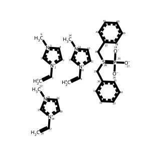 C=C[n+]1ccn(C)c1.C=C[n+]1ccn(C)c1.C=C[n+]1ccn(C)c1.[O-]P([O-])([O-])=S(Cc1ccccc1)Cc1ccccc1